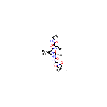 C=CCNC(=O)C(=O)C(CC1CC1)NC(=O)C1C2C(CN1C(=O)[C@@H](NC(=O)N[C@H](CN1C(=O)CC(C)(C)CC1=O)C(C)(C)C)C(C)(C)C)C2(C)C